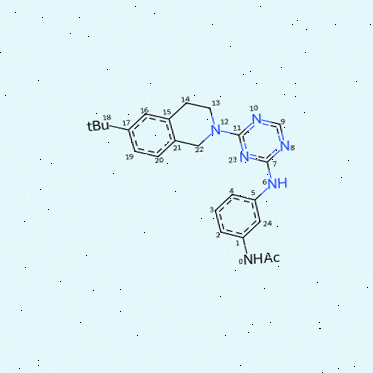 CC(=O)Nc1cccc(Nc2ncnc(N3CCc4cc(C(C)(C)C)ccc4C3)n2)c1